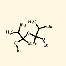 CCOC(CC)(OC(CC)(OCC)C(C)C(C)CC)C(C)C(C)CC